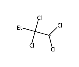 CCC(Cl)(Cl)[C](Cl)Cl